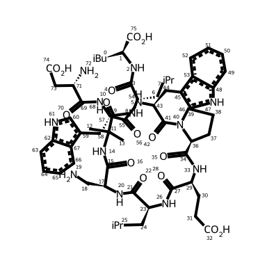 CC[C@H](C)[C@H](NC(=O)[C@H](CC(C)C)NC(=O)C(C)(C)NC(=O)[C@H](CN)NC(=O)[C@H](CC(C)C)NC(=O)[C@H](CCC(=O)O)NC(=O)[C@@H]1CCCN1C(=O)[C@H](Cc1c[nH]c2ccccc12)NC(=O)[C@H](Cc1c[nH]c2ccccc12)NC(=O)[C@@H](N)CC(=O)O)C(=O)O